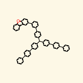 c1ccc(-c2ccc(-c3ccc(C(c4ccc(-c5ccc(-c6ccccc6)cc5)cc4)c4ccc(-c5cccc(-c6ccc7oc8ccccc8c7c6)c5)cc4)cc3)cc2)cc1